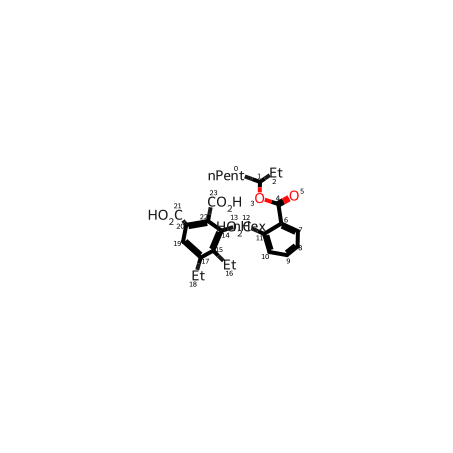 CCCCCC(CC)OC(=O)c1ccccc1C(=O)O.CCCCCCc1c(CC)c(CC)cc(C(=O)O)c1C(=O)O